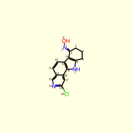 ON=C1CCCc2[nH]c3c(ccc4cnc(Cl)cc43)c21